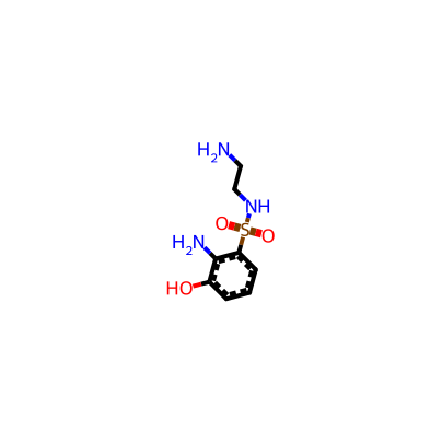 NCCNS(=O)(=O)c1cccc(O)c1N